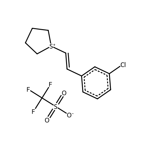 Clc1cccc(C=C[S+]2CCCC2)c1.O=S(=O)([O-])C(F)(F)F